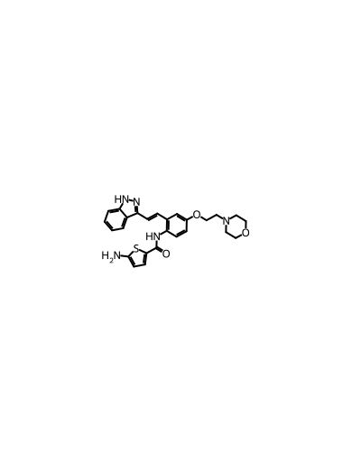 Nc1ccc(C(=O)Nc2ccc(OCCN3CCOCC3)cc2C=Cc2n[nH]c3ccccc23)s1